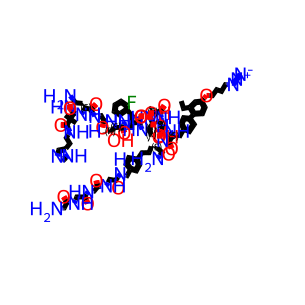 CCc1cc(OCCCCN=[N+]=[N-])ccc1-c1ccc(C[C@H](NC(=O)[C@H](CC(=O)O)NC(=O)[C@H](C)NC(=O)[C@@H](NC(=O)C(C)(Cc2ccccc2F)NC(=O)[C@@H](NC(=O)CNC(=O)[C@H](CC(=N)N)NC(=O)C(C)(C)C(=O)NCCc2cnc[nH]2)[C@@H](C)O)[C@@H](C)O)C(=O)N[C@@H](CCCc2ccc(CNC(=O)CNC(=O)CNC(=O)CNC(=O)CN)cc2)C(N)=O)cc1